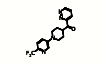 O=C(c1cccnn1)C1CCN(c2ccc(C(F)(F)F)nc2)CC1